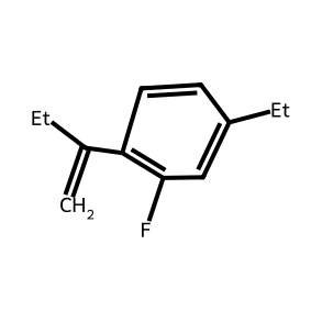 C=C(CC)c1ccc(CC)cc1F